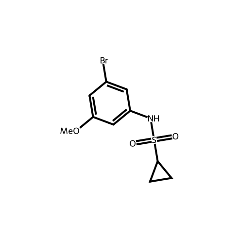 COc1cc(Br)cc(NS(=O)(=O)C2CC2)c1